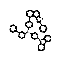 c1ccc(-c2cccc(N(c3ccc(-c4cccc5ccc6oc(-c7ccccc7)nc6c45)cc3)c3ccc(-n4c5ccccc5c5ccccc54)cc3)c2)cc1